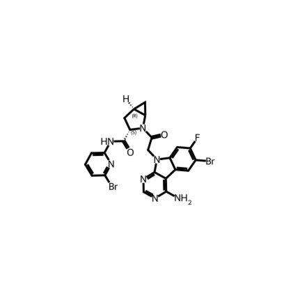 Nc1ncnc2c1c1cc(Br)c(F)cc1n2CC(=O)N1C2C[C@@H]2C[C@H]1C(=O)Nc1cccc(Br)n1